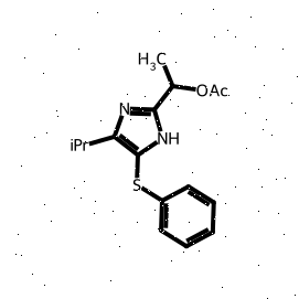 CC(=O)OC(C)c1nc(C(C)C)c(Sc2ccccc2)[nH]1